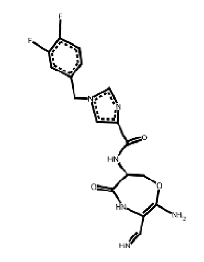 N=CC1=C(N)OC[C@H](NC(=O)c2cn(Cc3ccc(F)c(F)c3)cn2)C(=O)N1